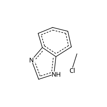 CCl.c1ccc2[nH]cnc2c1